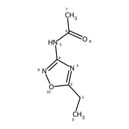 CCc1nc(NC(C)=O)no1